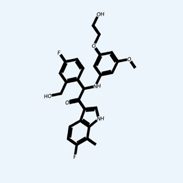 COc1cc(NC(C(=O)c2c[nH]c3c(C)c(F)ccc23)c2ccc(F)cc2CO)cc(OCCO)c1